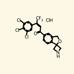 Cl.O=C(C=C(c1cc(Cl)c(Cl)c(Cl)c1)C(F)(F)F)c1ccc2c(c1)COC21CNC1